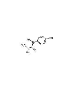 CCN(C(=O)[C@H](C)N)c1ccc(O)cc1